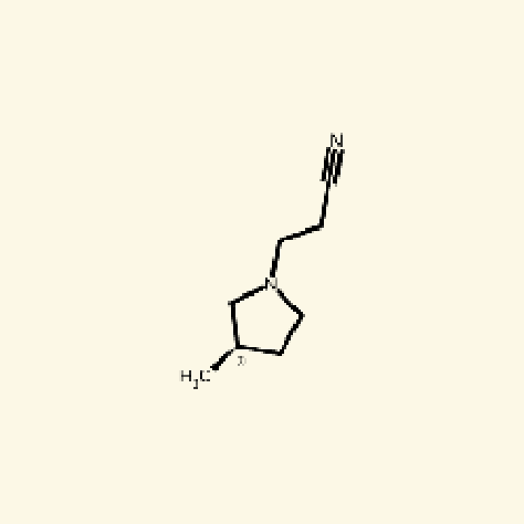 C[C@@H]1CCN(CCC#N)C1